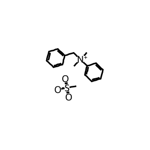 CS(=O)(=O)[O-].C[N+](C)(Cc1ccccc1)c1ccccc1